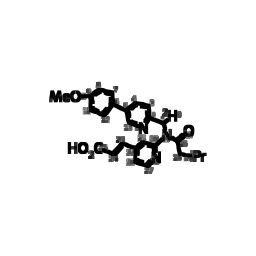 [2H]C(c1ccc(-c2ccc(OC)cc2)cn1)N(C(=O)CC(C)C)c1cc(C=CC(=O)O)ccn1